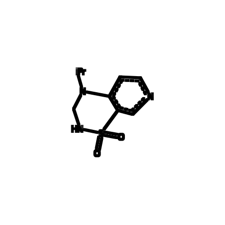 CC(C)N1CNS(=O)(=O)c2cnccc21